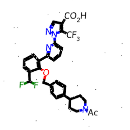 CC(=O)N1CCC(c2ccc(COc3c(-c4cccc(-n5ncc(C(=O)O)c5C(F)(F)F)n4)cccc3C(F)F)cc2)CC1